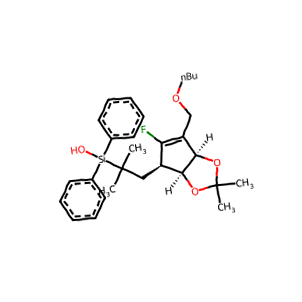 CCCCOCC1=C(F)[C@H](CC(C)(C)[Si](O)(c2ccccc2)c2ccccc2)[C@@H]2OC(C)(C)O[C@H]12